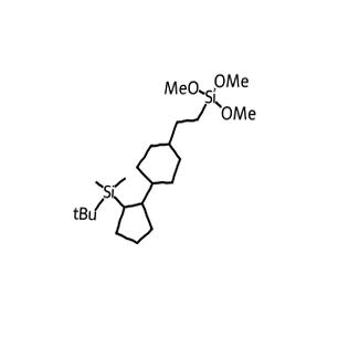 CO[Si](CCC1CCC(C2CCCC2[Si](C)(C)C(C)(C)C)CC1)(OC)OC